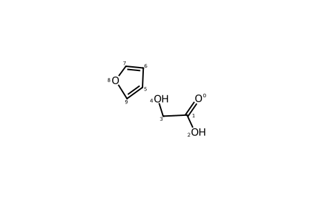 O=C(O)CO.c1ccoc1